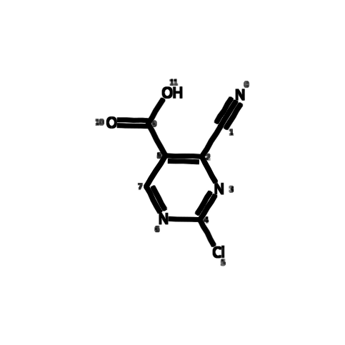 N#Cc1nc(Cl)ncc1C(=O)O